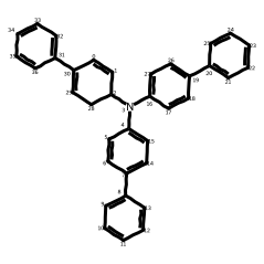 C1=CC(N(c2ccc(-c3ccccc3)cc2)c2ccc(-c3ccccc3)cc2)CC=C1c1ccccc1